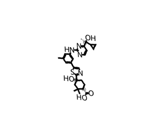 Cc1cc(Nc2nccc([C@@](C)(O)C3CC3)n2)cc(-c2cnc([C@@]3(O)CC[C@H](C(=O)O)C(C)(C)C3)s2)c1